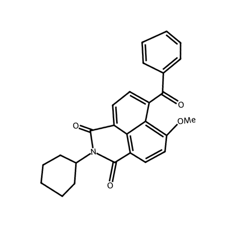 COc1ccc2c3c(ccc(C(=O)c4ccccc4)c13)C(=O)N(C1CCCCC1)C2=O